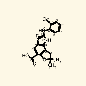 CC1(C)Cc2c(c(C(=O)O)cc3nc(Nc4ccccc4Cl)[nH]c23)O1